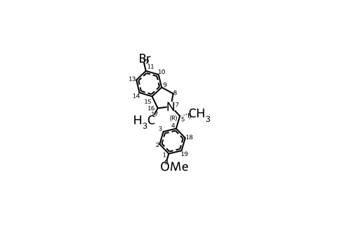 COc1ccc([C@@H](C)N2Cc3cc(Br)ccc3C2C)cc1